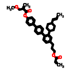 C=CC(=O)OCCCc1ccc(-c2ccc(-c3ccc(OC(=O)C(=C)COC)cc3)cc2)c(C2CCC(/C=C/C)CC2)c1